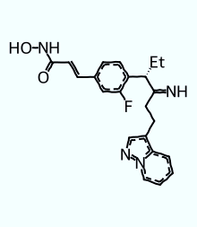 CC[C@H](C(=N)CCc1cnn2ccccc12)c1ccc(/C=C/C(=O)NO)cc1F